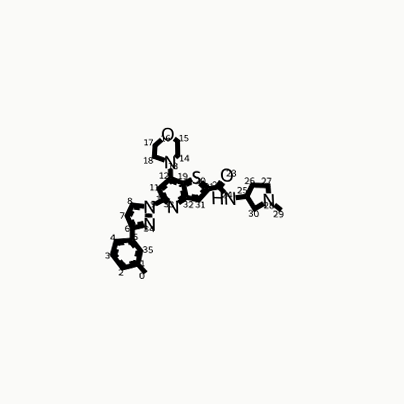 Cc1cccc(-c2ccn(-c3cc(N4CCOCC4)c4sc(C(=O)NC5CCN(C)C5)cc4n3)n2)c1